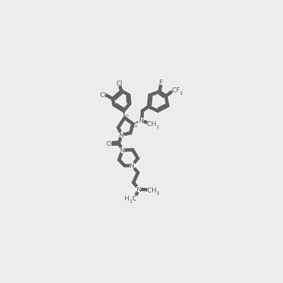 CN(C)CCN1CCN(C(=O)N2C[C@H](c3ccc(Cl)c(Cl)c3)[C@H](N(C)Cc3ccc(C(F)(F)F)c(F)c3)C2)CC1